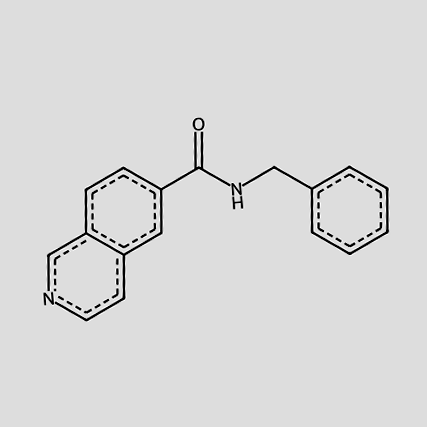 O=C(NCc1ccccc1)c1ccc2cnccc2c1